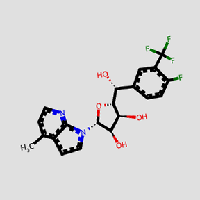 Cc1ccnc2c1ccn2[C@@H]1O[C@H]([C@H](O)c2ccc(F)c(C(F)(F)F)c2)[C@@H](O)[C@H]1O